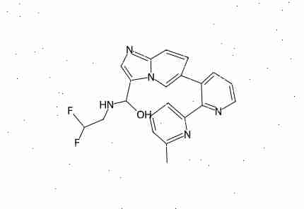 Cc1cccc(-c2ncccc2-c2ccc3ncc(C(O)NCC(F)F)n3c2)n1